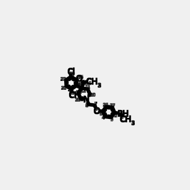 CBc1ccc(OCCN2CCC(C(C)=O)(c3cc(Cl)ccc3C)CC2)cc1